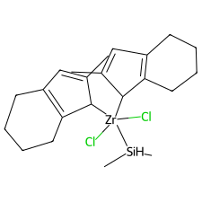 CC1=CC2=C(CCCC2)[CH]1[Zr]([Cl])([Cl])([CH]1C(C)=CC2=C1CCCC2)[SiH](C)C